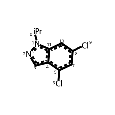 CC(C)n1ncc2c(Cl)cc(Cl)cc21